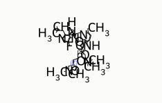 CCc1ccc(NC(=O)[C@H](CC/C=C(\C=O)CN(C)C)OC(=O)N(C)C)c(=O)n1Cc1nc2c(F)cnc(CC(C)C)c2[nH]1